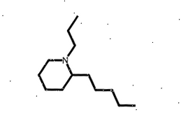 CCCCCC1CCCCN1CCC